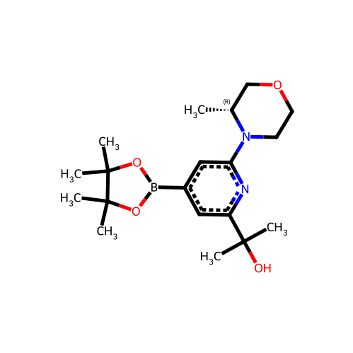 C[C@@H]1COCCN1c1cc(B2OC(C)(C)C(C)(C)O2)cc(C(C)(C)O)n1